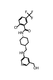 O=C(N[C@H]1CC[C@H](CNc2cncc(CO)c2)CC1)c1cc(C(F)(F)F)ccc1Cl